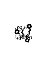 NCCCC(NC(=O)C1(C(=O)NCCCc2ccccc2)CCCC1)B(O)O.O=S(=O)(O)c1ccccc1